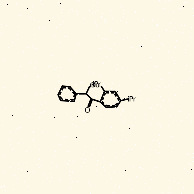 CCC(C)C(C(=O)c1ccc(C(C)C)[c]c1C(C)C)c1ccccc1